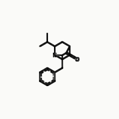 CC(C)C1CC2CCN1C(Cc1ccccc1)C2=O